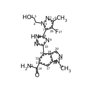 Cc1nn(CCO)c(-c2nc(-c3cc(C(N)=O)cc4c3cnn4C)n[nH]2)c1F